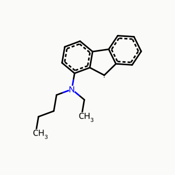 CCCCN(CC)c1cccc2c1[CH]c1ccccc1-2